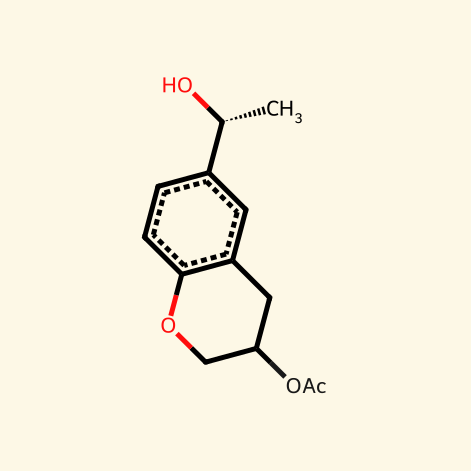 CC(=O)OC1COc2ccc([C@@H](C)O)cc2C1